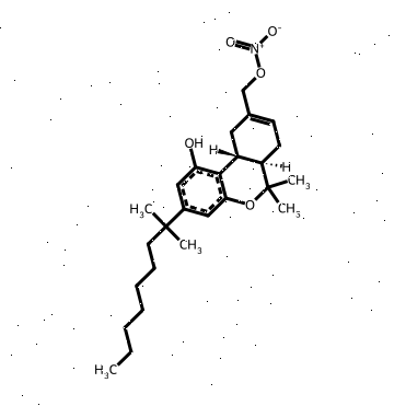 CCCCCCCC(C)(C)c1cc(O)c2c(c1)OC(C)(C)[C@@H]1CC=C(CO[N+](=O)[O-])C[C@@H]21